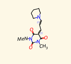 CNN1C(=O)/C(=C\C=C\N2CCCCC2)C(=O)N(C)C1=O